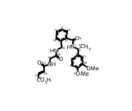 COc1ccc([C@@H](C)NC(=O)c2ccccc2CNC(=O)CNC(=O)/C=C/C(=O)O)cc1OC